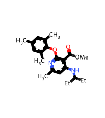 CCC(CC)Nc1cc(C)nc(Oc2c(C)cc(C)cc2C)c1C(=O)OC